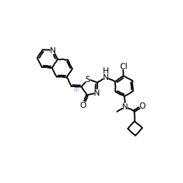 CN(C(=O)C1CCC1)c1ccc(Cl)c(NC2=NC(=O)/C(=C/c3ccc4ncccc4c3)S2)c1